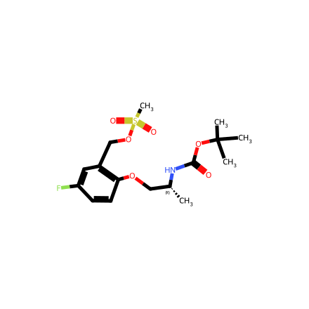 C[C@H](COc1ccc(F)cc1COS(C)(=O)=O)NC(=O)OC(C)(C)C